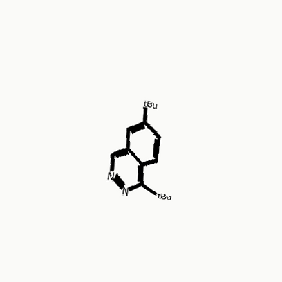 CC(C)(C)c1ccc2c(C(C)(C)C)nncc2c1